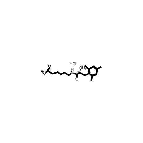 COC(=O)CCCCCNC(=O)[C@@H](N)Cc1c(C)cc(C)cc1C.Cl